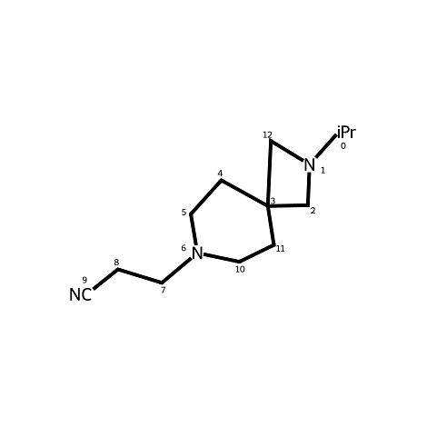 CC(C)N1CC2(CCN(CCC#N)CC2)C1